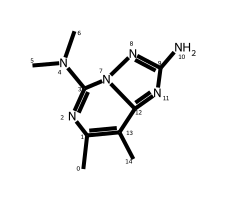 Cc1nc(N(C)C)n2nc(N)nc2c1C